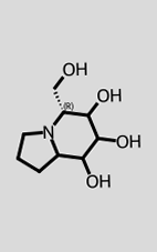 OC[C@@H]1C(O)C(O)C(O)C2CCCN21